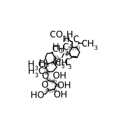 C=C(C)[C@@H]1CC=C(C)[C@H](CC[C@H]2C(=C)CC[C@H]3C(C)(C)[C@@H](O[C@@H]4O[C@H](CO)[C@@H](O)[C@H](O)[C@H]4O)CC[C@]23C)[C@@]1(C)CCC(=O)O